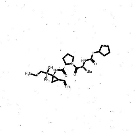 C=CC1C[C@]1(NC(=O)[C@@H]1CCCN1C(=O)C(NC(=O)OC1CCCC1)C(C)(C)C)[PH](O)(P)CCN